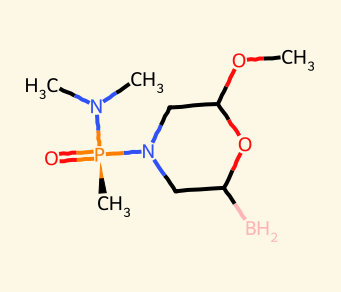 BC1CN([P@](C)(=O)N(C)C)CC(OC)O1